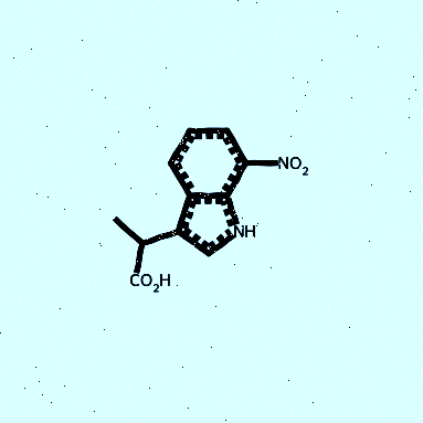 CC(C(=O)O)c1c[nH]c2c([N+](=O)[O-])cccc12